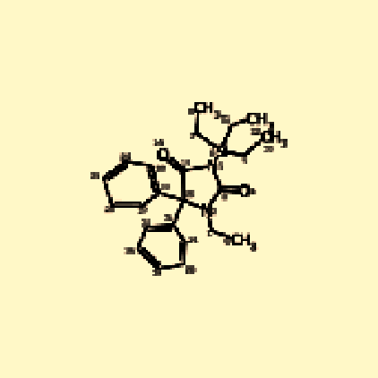 CCN1C(=O)N([Si](CC)(CC)CC)C(=O)C1(c1ccccc1)c1ccccc1